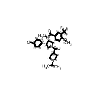 COc1ccc(C(=O)N(C)[C@H]2CN(C(=O)C3CCN(C(C)C)CC3)C[C@@H]2c2ccc(Cl)cc2)cc1C(F)(F)F